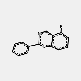 Fc1cccc2nc(-c3ccccc3)ncc12